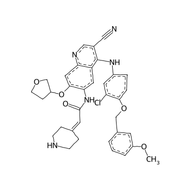 COc1cccc(COc2ccc(Nc3c(C#N)cnc4cc(OC5CCOC5)c(NC(=O)C=C5CCNCC5)cc34)cc2Cl)c1